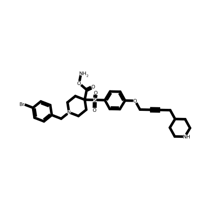 NOC(=O)C1(S(=O)(=O)c2ccc(OCC#CCC3CCNCC3)cc2)CCN(Cc2ccc(Br)cc2)CC1